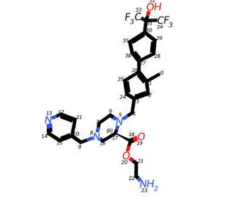 Cc1cc(CN2CCN(Cc3ccncc3)C[C@@H]2C(=O)OCCN)ccc1-c1ccc(C(O)(C(F)(F)F)C(F)(F)F)cc1